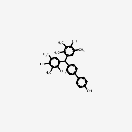 Cc1cc(C(c2ccc(-c3ccc(O)cc3)cc2)c2cc(C)c(O)c(C)c2C)c(C)c(C)c1O